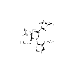 COc1cnccc1-c1cc(-c2nnc(C)o2)nc(C(F)F)c1C(=O)O